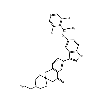 CCN1CCC2(CC1)CC(=O)c1cc(-c3n[nH]c4ccc(O[C@H](C)c5c(Cl)cncc5Cl)cc34)ccc1O2